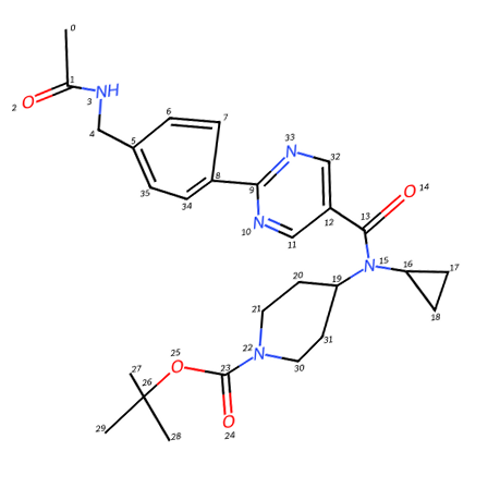 CC(=O)NCc1ccc(-c2ncc(C(=O)N(C3CC3)C3CCN(C(=O)OC(C)(C)C)CC3)cn2)cc1